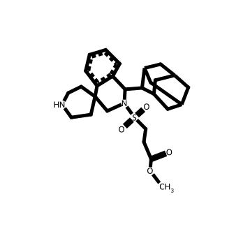 COC(=O)CCS(=O)(=O)N1CC2(CCNCC2)c2ccccc2C1C1C2CC3CC(C2)CC1C3